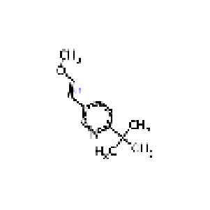 CO/C=C/c1ccc(C(C)(C)C)nc1